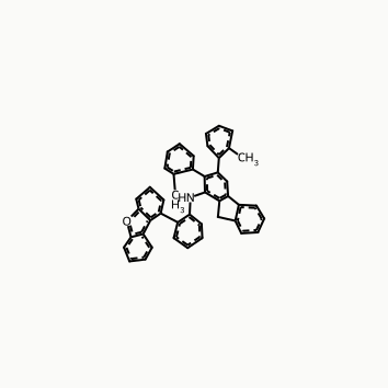 Cc1ccccc1-c1cc2c(c(Nc3ccccc3-c3cccc4oc5ccccc5c34)c1-c1ccccc1C)Cc1ccccc1-2